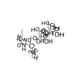 CCCc1nn(C)c2c(=O)[nH]c(-c3cc(S(=O)(=O)N4CCN(C)CC4)ccc3OCC)nc12.O=C(O)CC(O)(CC(=O)O)C(=O)O.O=C(O)CC(O)(CC(=O)O)C(=O)O